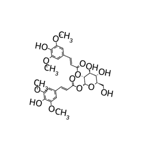 COc1cc(C=CC(=O)O[C@@H]2O[C@H](CO)[C@@H](O)[C@H](O)[C@H]2OC(=O)C=Cc2cc(OC)c(O)c(OC)c2)cc(OC)c1O